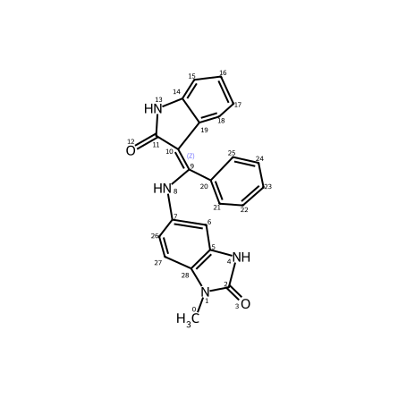 Cn1c(=O)[nH]c2cc(N/C(=C3\C(=O)Nc4ccccc43)c3ccccc3)ccc21